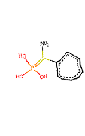 O=[N+]([O-])S(c1ccccc1)=P(O)(O)O